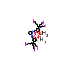 Cc1cc(C(CCCI)(CCCI)CCCCI)cc(/C=N/[C@H]2CCCC[C@@H]2/N=C/c2cc(C(CCCI)(CCCI)CCCCI)cc(C)c2O)c1O